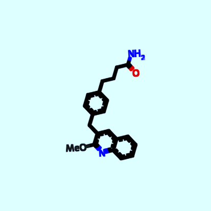 COc1nc2ccccc2cc1Cc1ccc(CCCC(N)=O)cc1